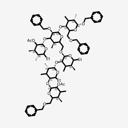 CCC1O[C@H](OCC2O[C@@H](O[C@@H]3C(COCc4ccccc4)O[C@@H](OCc4ccccc4)[C@@H](C)C3C)[C@H](OCc3ccccc3)C(O[C@@H]3OC(CC)[C@H](C)[C@@H](C)C3OC(C)=O)[C@@H]2C)[C@H](O[C@@H]2OC(CC)[C@@H](O[C@@H]3OC(COCc4ccccc4)[C@H](C)C(C)[C@@H]3OC(C)=O)C(C)[C@@H]2C)C(C)[C@@H]1C